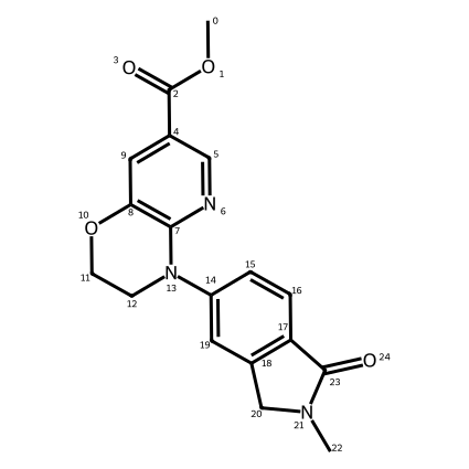 COC(=O)c1cnc2c(c1)OCCN2c1ccc2c(c1)CN(C)C2=O